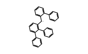 [CH](c1ccccc1-c1ccccc1)c1cccc(-c2ccccc2)c1-c1ccccc1